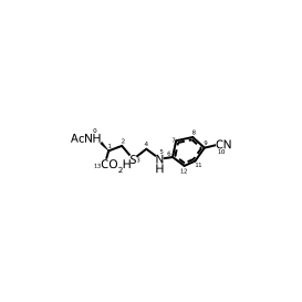 CC(=O)N[C@@H](CSCNc1ccc(C#N)cc1)C(=O)O